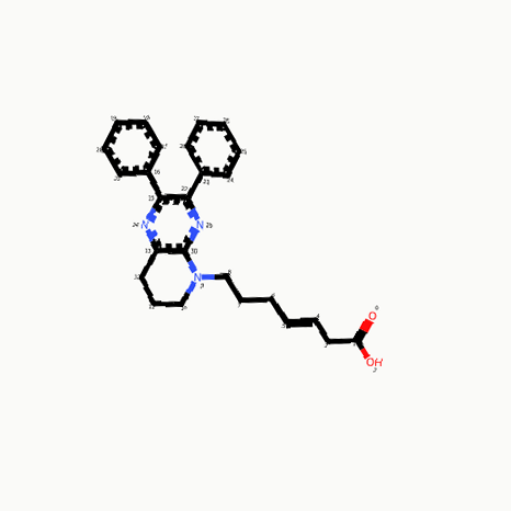 O=C(O)CC=CCCCN1CCCc2nc(-c3ccccc3)c(-c3ccccc3)nc21